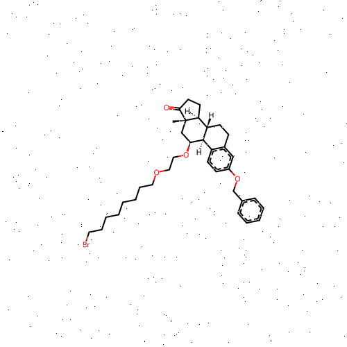 C[C@]12C[C@H](OCCOCCCCCCCCBr)[C@@H]3c4ccc(OCc5ccccc5)cc4CC[C@H]3[C@@H]1CCC2=O